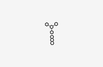 c1ccc(-c2cc(-c3ccccc3)cc(-c3ccccc3)c2)cc1.c1ccc2cc3ccccc3cc2c1